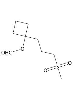 CS(=O)(=O)CCCC1(OC=O)CCC1